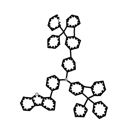 c1ccc(C2(c3ccccc3)c3ccccc3-c3cc(N(c4ccc(-c5ccc6c(c5)C(c5ccccc5)(c5ccccc5)c5ccccc5-6)cc4)c4cccc(-c5cccc6c5oc5ccccc56)c4)ccc32)cc1